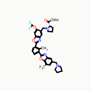 COC(=O)[C@@H]1CCCN1Cc1cc2nc(-c3cccc(-c4nc5cc(CN6CCCC6)cc(C(F)(F)F)c5o4)c3C)oc2cc1OC(F)F